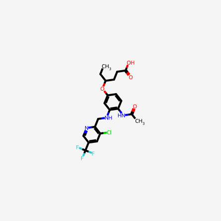 CCC(CCC(=O)O)Oc1ccc(NC(C)=O)c(NCc2ncc(C(F)(F)F)cc2Cl)c1